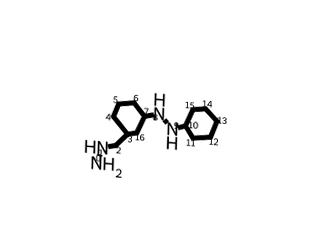 NNCC1CCCC(NNC2CCCCC2)C1